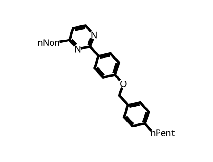 CCCCCCCCCc1ccnc(-c2ccc(OCc3ccc(CCCCC)cc3)cc2)n1